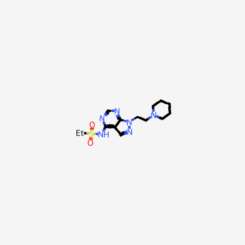 CCS(=O)(=O)Nc1ncnc2c1cnn2CCN1CCCCC1